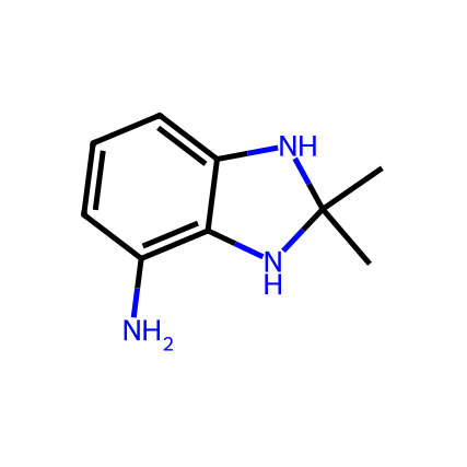 CC1(C)Nc2cccc(N)c2N1